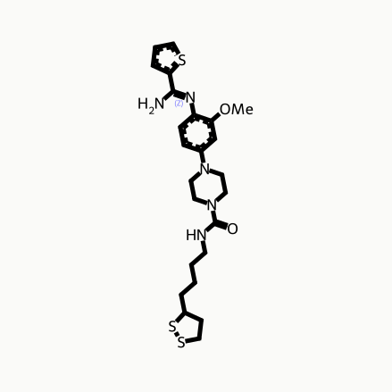 COc1cc(N2CCN(C(=O)NCCCCC3CCSS3)CC2)ccc1/N=C(\N)c1cccs1